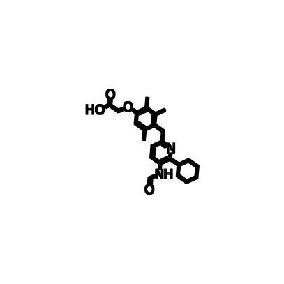 Cc1cc(OCC(=O)O)c(C)c(C)c1Cc1ccc(NC=O)c(C2CCCCC2)n1